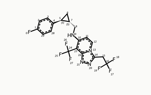 Fc1ccc([C@H]2C[C@@H]2CNc2ccn3c(CC(F)(F)F)nnc3c2C(F)(F)F)cc1